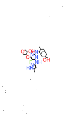 Cc1cc(Nc2nc(NC3C(C)CC4CC3CC(C)(O)C4)nc(OC3COCC3O)c2F)n[nH]1